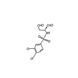 O=[C]C[C@@H]([C]=O)NS(=O)(=O)c1ccc(Cl)c(Cl)c1